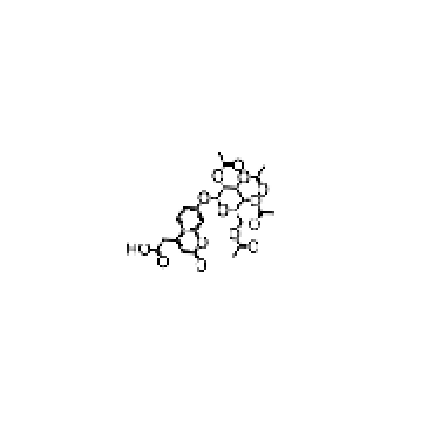 CC(=O)OC[C@H]1O[C@@H](Oc2ccc3c(CC(=O)O)cc(=O)oc3c2)[C@H](OC(C)=O)[C@@H](OC(C)=O)[C@H]1OC(C)=O